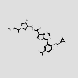 COCC(=O)N1C[C@H](CNC(=O)c2c[nH]c3c(-c4cc(C(F)F)ccc4OCC4CC4)ncnc23)[C@H](F)C1